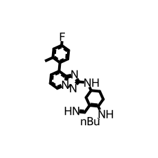 CCCCNC1=C(C=N)CC(Nc2nc3c(-c4ccc(F)cc4C)cccn3n2)CC1